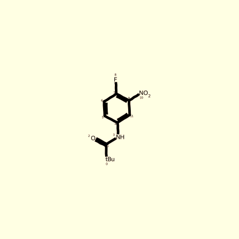 CC(C)(C)C(=O)Nc1ccc(F)c([N+](=O)[O-])c1